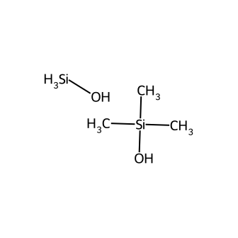 C[Si](C)(C)O.O[SiH3]